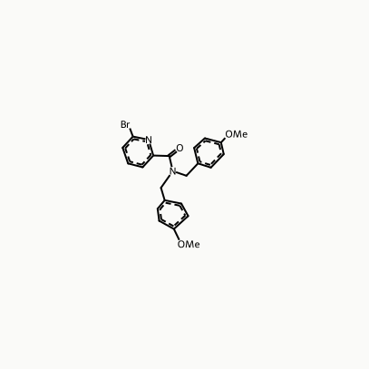 COc1ccc(CN(Cc2ccc(OC)cc2)C(=O)c2cccc(Br)n2)cc1